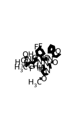 CCO[C@@H]1C[C@@H]2CN(C(=O)[C@@H](NC(=O)[C@@H](CF)C(NC(=O)O)C(C)(C)C)C3CCC(F)(F)CC3)[C@H](C(=O)N[C@@H]3CCOc4ccccc43)CN2C1